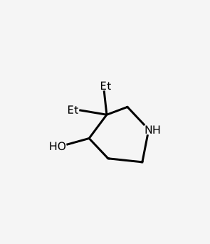 CCC1(CC)CNCCC1O